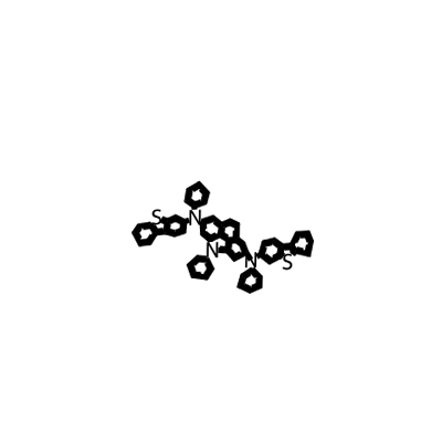 c1ccc(N(c2ccc3c(c2)sc2ccccc23)c2cc3ccc4cc(N(c5ccccc5)c5ccc6c(c5)sc5ccccc56)cc5c4c3c(c2)n5-c2ccccc2)cc1